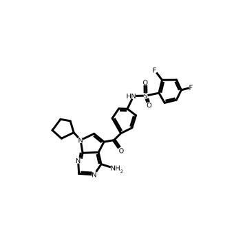 Nc1ncnc2c1c(C(=O)c1ccc(NS(=O)(=O)c3ccc(F)cc3F)cc1)cn2C1CCCC1